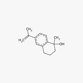 C=C(C)c1ccc2c(c1)CCCC2(C)O